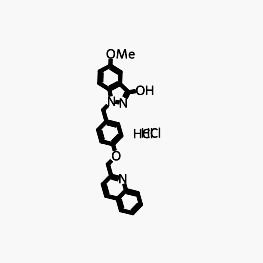 COc1ccc2c(c1)c(O)nn2Cc1ccc(OCc2ccc3ccccc3n2)cc1.Cl.Cl